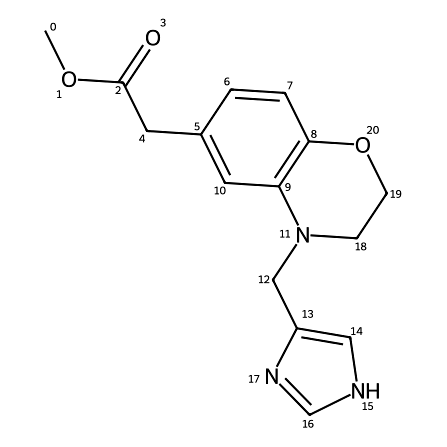 COC(=O)Cc1ccc2c(c1)N(Cc1c[nH]cn1)CCO2